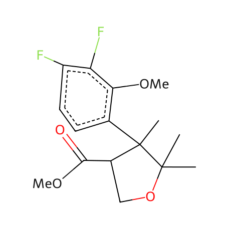 COC(=O)C1COC(C)(C)C1(C)c1ccc(F)c(F)c1OC